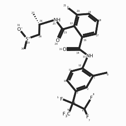 Cc1cc(C(F)(C(F)F)C(F)(F)F)ccc1NC(=O)c1cccc(I)c1C(=O)N[C@@H](C)C[S+](C)[O-]